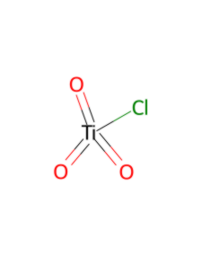 [O]=[Ti](=[O])(=[O])[Cl]